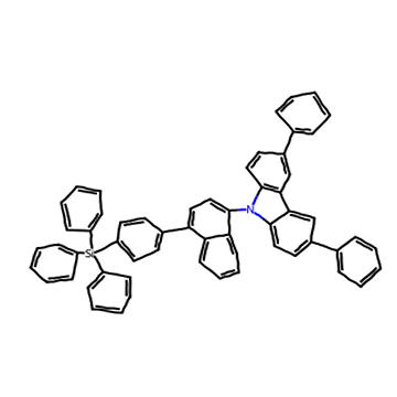 c1ccc(-c2ccc3c(c2)c2cc(-c4ccccc4)ccc2n3-c2ccc(-c3ccc([Si](c4ccccc4)(c4ccccc4)c4ccccc4)cc3)c3ccccc23)cc1